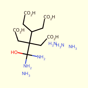 N.N.N.N.NC(N)(O)C(CC(=O)O)(CC(=O)O)C(CC(=O)O)CC(=O)O